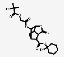 CCC1(OC(=O)C2C3CC4C(OC(=O)C42)C3OC(=O)COC(=O)C(C)(C)CC)CCCCC1